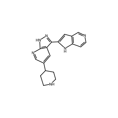 c1cc2[nH]c(-c3n[nH]c4ncc(C5CCNCC5)cc34)cc2cn1